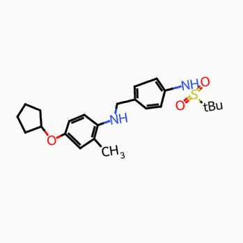 Cc1cc(OC2CCCC2)ccc1NCc1ccc(NS(=O)(=O)C(C)(C)C)cc1